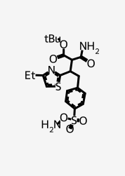 CCc1csc(C(Cc2ccc(S(=O)(=O)ON)cc2)C(C(N)=O)C(=O)OC(C)(C)C)n1